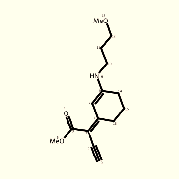 C#C/C(C(=O)OC)=C1/C=C(NCCCOC)CCC1